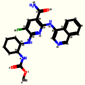 CC(C)(C)OC(=O)N[C@H]1CCCC[C@H]1Nc1nc(Nc2cncc3ccccc23)c(C(N)=O)cc1F